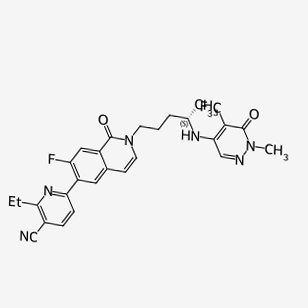 CCc1nc(-c2cc3ccn(CCC[C@H](C)Nc4cnn(C)c(=O)c4C(F)(F)F)c(=O)c3cc2F)ccc1C#N